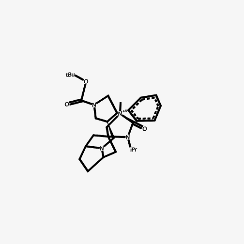 CC(C)N1C(=O)N(C)CC12CC1CCC(C2)N1C[C@H]1CN(C(=O)OC(C)(C)C)C[C@@H]1c1ccccc1